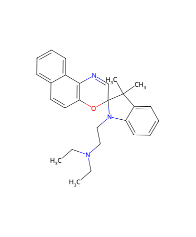 CCN(CC)CCN1c2ccccc2C(C)(C)C12C=Nc1c(ccc3ccccc13)O2